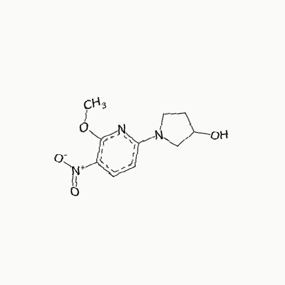 COc1nc(N2CCC(O)C2)ccc1[N+](=O)[O-]